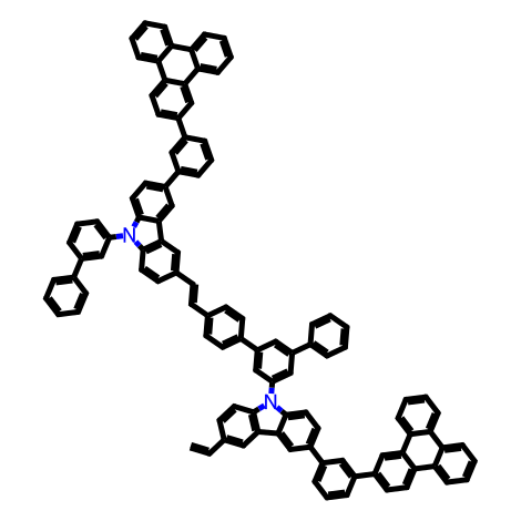 C=Cc1ccc2c(c1)c1cc(-c3cccc(-c4ccc5c6ccccc6c6ccccc6c5c4)c3)ccc1n2-c1cc(-c2ccccc2)cc(-c2ccc(/C=C/c3ccc4c(c3)c3cc(-c5cccc(-c6ccc7c8ccccc8c8ccccc8c7c6)c5)ccc3n4-c3cccc(-c4ccccc4)c3)cc2)c1